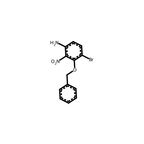 Nc1ccc(Br)c(OCc2ccccc2)c1[N+](=O)[O-]